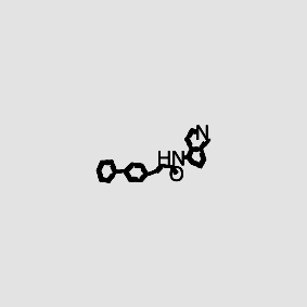 O=C(C=Cc1ccc(-c2ccccc2)cc1)Nc1cccc2cnccc12